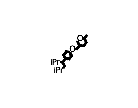 CC(C)CC(c1ccc(OCC2CCC(C)OC2)cc1)C(C)C